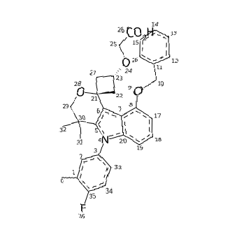 Cc1cc(-n2c3c(c4c(OCc5ccccc5)cccc42)[C@]2(C[C@@H](OCC(=O)O)C2)OCC3(C)C)ccc1F